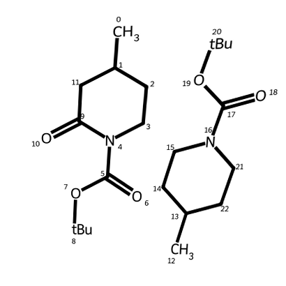 CC1CCN(C(=O)OC(C)(C)C)C(=O)C1.CC1CCN(C(=O)OC(C)(C)C)CC1